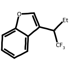 CC[C](c1coc2ccccc12)C(F)(F)F